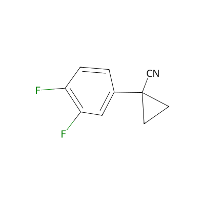 N#CC1(c2ccc(F)c(F)c2)CC1